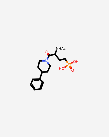 CC(=O)NC(CCP(=O)(O)O)C(=O)N1CCC(c2ccccc2)CC1